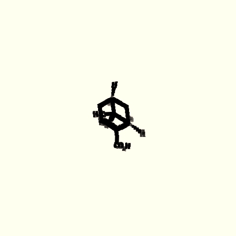 CC1(C)[C@H]2CC=C(C(=O)O)[C@@H]1C2